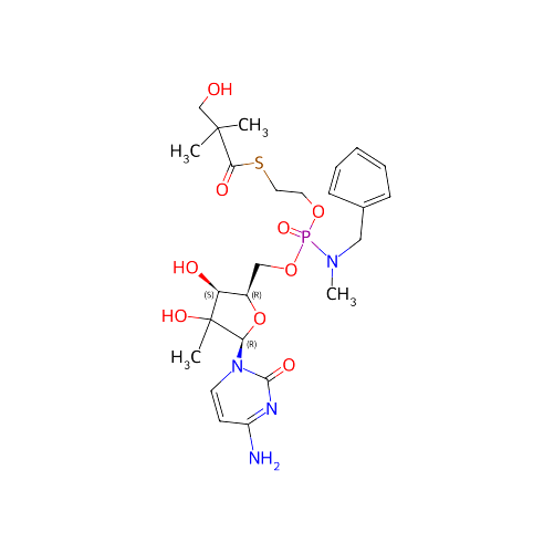 CN(Cc1ccccc1)P(=O)(OCCSC(=O)C(C)(C)CO)OC[C@H]1O[C@@H](n2ccc(N)nc2=O)C(C)(O)[C@H]1O